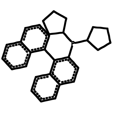 c1ccc2c(-c3c(P(C4CCCC4)C4CCCC4)ccc4ccccc34)cccc2c1